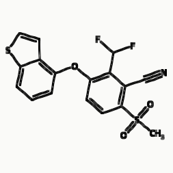 CS(=O)(=O)c1ccc(Oc2cccc3sccc23)c(C(F)F)c1C#N